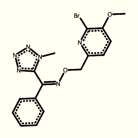 COc1ccc(CON=C(c2ccccc2)c2nnnn2C)nc1Br